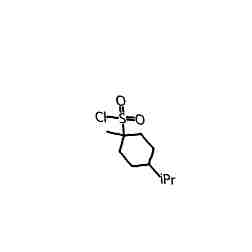 CC(C)C1CCC(C)(S(=O)(=O)Cl)CC1